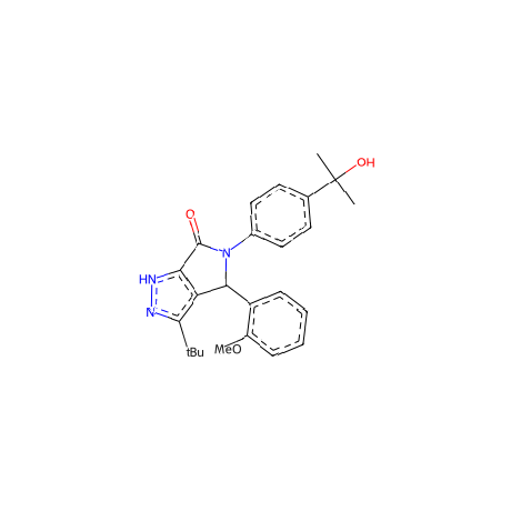 COc1ccccc1C1c2c(C(C)(C)C)n[nH]c2C(=O)N1c1ccc(C(C)(C)O)cc1